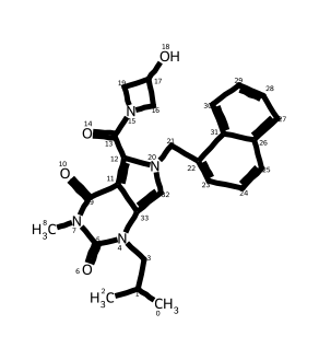 CC(C)Cn1c(=O)n(C)c(=O)c2c(C(=O)N3CC(O)C3)n(Cc3cccc4ccccc34)cc21